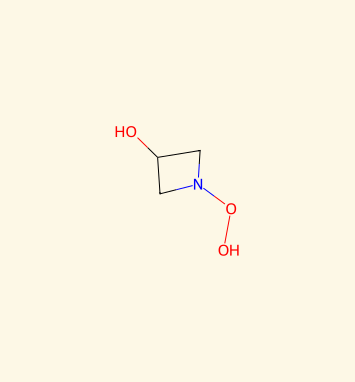 OON1CC(O)C1